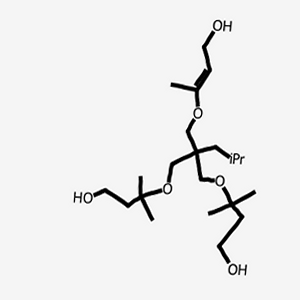 C/C(=C\CO)OCC(COC(C)(C)CCO)(COC(C)(C)CCO)CC(C)C